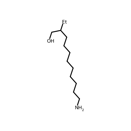 CCC(CO)CCCCCCCCCN